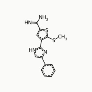 CSc1sc(C(=N)N)cc1-c1nc(-c2ccccc2)c[nH]1